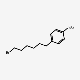 CCCCc1ccc(CCCCCCBr)cc1